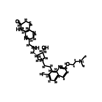 CN(C)CCOc1ccc2ccc(F)c(CCN3C[C@H](CNCc4cnc5c(n4)NC(=O)CS5)[C@H](O)C3)c2n1